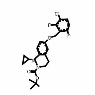 CC(C)(C)OC(=O)N1CCc2cc(OCc3c(F)ccc(Cl)c3F)ccc2[C@@H]1C1CC1